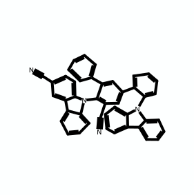 N#Cc1ccc2c(c1)c1ccccc1n2-c1c(C#N)cc(-c2ccccc2-n2c3ccccc3c3ccccc32)cc1-c1ccccc1